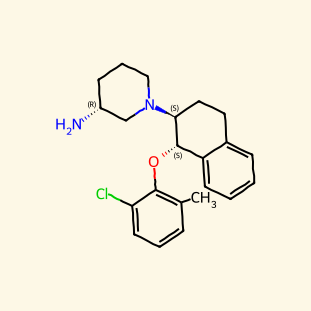 Cc1cccc(Cl)c1O[C@H]1c2ccccc2CC[C@@H]1N1CCC[C@@H](N)C1